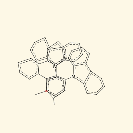 Cc1ccc(-n2c3ccccc3c3ccccc32)c(-c2ccccc2-c2ccccc2-c2cc(C)ccc2-n2c3ccccc3c3ccccc32)c1